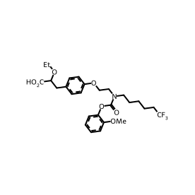 CCOC(Cc1ccc(OCCN(CCCCCC(F)(F)F)C(=O)Oc2ccccc2OC)cc1)C(=O)O